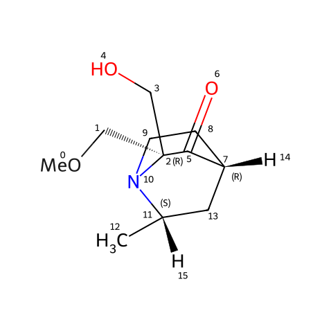 COC[C@]1(CO)C(=O)[C@@H]2CCN1[C@@H](C)C2